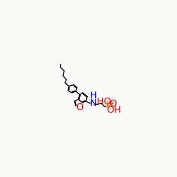 CCCCCCc1ccc(-c2ccc(CNCCCP(=O)(O)O)c3occc23)cc1